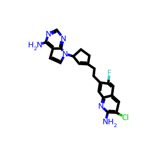 Nc1nc2cc(CCC3=CC(n4ccc5c(N)ncnc54)CC3)c(F)cc2cc1Cl